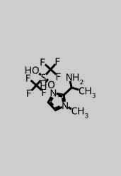 CC(N)c1nccn1C.O=[SH](O)(C(F)(F)F)C(F)(F)F